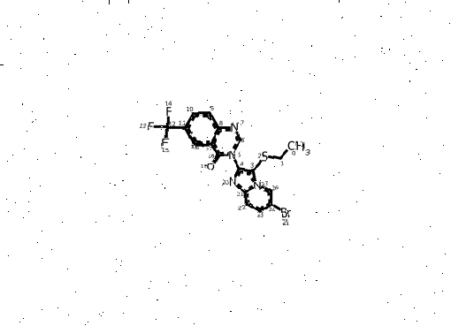 CCSc1c(-n2cnc3ccc(C(F)(F)F)cc3c2=O)nc2ccc(Br)cn12